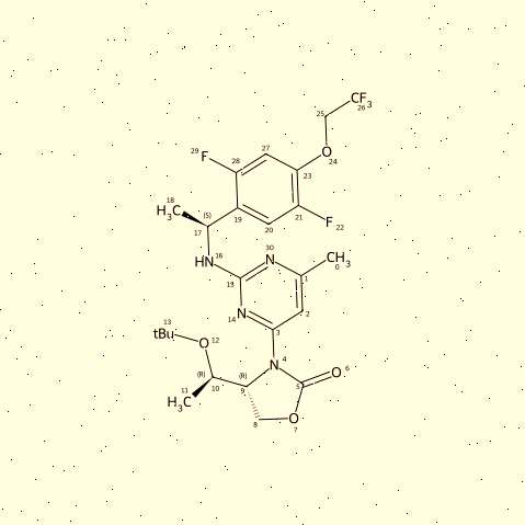 Cc1cc(N2C(=O)OC[C@@H]2[C@@H](C)OC(C)(C)C)nc(N[C@@H](C)c2cc(F)c(OCC(F)(F)F)cc2F)n1